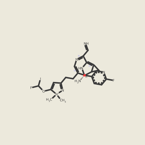 C[N+]1(C)N=C(CC/C2=C/N=C(C=N)\C(N[C@@H](N)c3ccc(F)nc3)=C3/CC3C2)C=C1OC(F)I